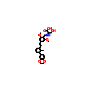 COc1cc(/C=C/c2cccc(-c3ccc4c(c3)OCCO4)c2C)cc(OC)c1CNC(CO)C(=O)O